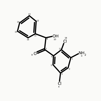 Nc1cc(Cl)cc(C(=O)C(O)c2ccccc2)c1Cl